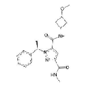 CNC(=O)c1cc(C(=O)NC2CC(OC)C2)n([C@H](C)c2ccccc2)n1